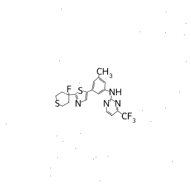 Cc1cc(Nc2nccc(C(F)(F)F)n2)cc(-c2cnc(C3(F)CCSCC3)s2)c1